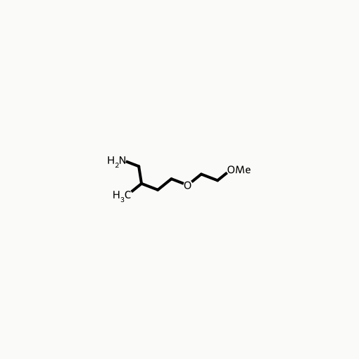 COCCOCCC(C)CN